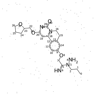 CCCN(N)C(=N)COc1ccc2c(c1)CCn1c-2cc(OCC2CCCO2)nc1=O